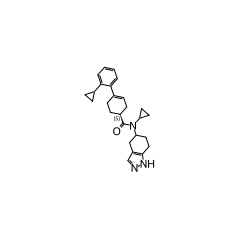 O=C([C@@H]1CC=C(c2ccccc2C2CC2)CC1)N(C1CC1)C1CCc2[nH]ncc2C1